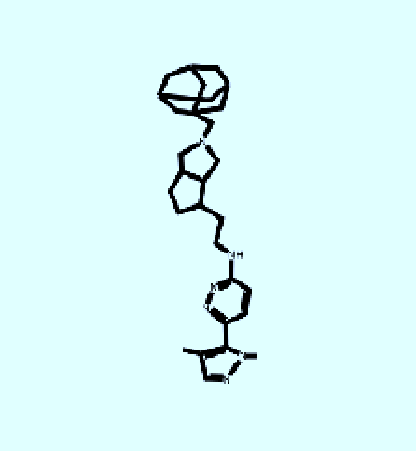 Cc1cnn(C)c1-c1ccc(NCCC2CCC3CN(CC45CC6CC(CC(C6)C4)C5)CC23)nn1